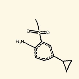 CS(=O)(=O)c1cc(C2CC2)ccc1N